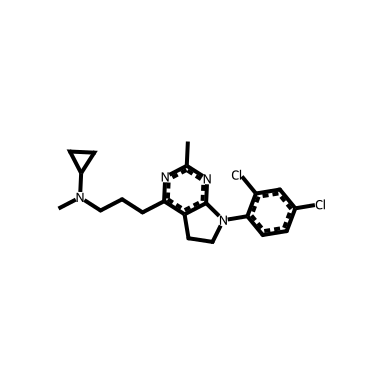 Cc1nc(CCCN(C)C2CC2)c2c(n1)N(c1ccc(Cl)cc1Cl)CC2